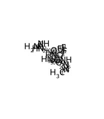 Cc1cc(C(=O)Nc2cc(C(F)(F)F)cc(NC(=O)CCCCNC(=N)N)c2O[C@@H]2CCNC2)ncn1